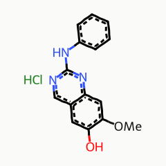 COc1cc2nc(Nc3ccccc3)ncc2cc1O.Cl